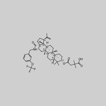 C=C(C)[C@@H]1CC[C@]2(C(=O)NCc3cccc(OC(F)(F)F)c3)CC[C@]3(C)[C@H](CC[C@@H]4[C@@]5(C)CC[C@H](OC(=O)CC(C)(C)C(=O)O)C(C)(C)[C@@H]5CC[C@]43C)[C@@H]12